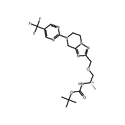 C[C@@H](COCc1nc2n(n1)CCN(c1ncc(C(F)(F)F)cn1)C2)NC(=O)OC(C)(C)C